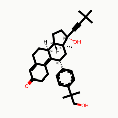 CC(C)(C)C#C[C@]1(O)CC[C@H]2[C@@H]3CCC4=CC(=O)CCC4=C3[C@@H](c3ccc(C(C)(C)CO)cc3)C[C@@]21C